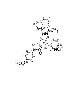 C[C@@H](NCC1CCN(C(=O)Nc2ccc(C(=O)O)cc2)CC1c1ccccc1)c1cccc2ccccc12.Cl